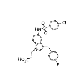 O=C(O)CCn1cc(Cc2ccc(F)cc2)c2cc(NS(=O)(=O)c3ccc(Cl)cc3)ccc21